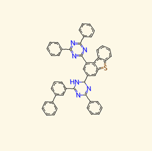 c1ccc(C2=NC(c3cc(-c4nc(-c5ccccc5)nc(-c5ccccc5)n4)c4c(c3)sc3ccccc34)NC(c3cccc(-c4ccccc4)c3)=N2)cc1